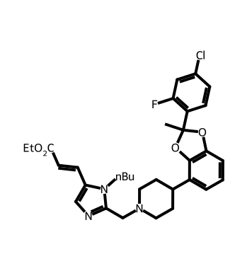 CCCCn1c(/C=C/C(=O)OCC)cnc1CN1CCC(c2cccc3c2OC(C)(c2ccc(Cl)cc2F)O3)CC1